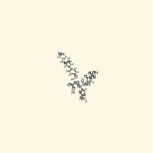 C[C@@H]1[C@H](NC(=O)/C(=N\O[C@@H](COc2ccc(-c3cn(CCCN)[n+](C)c3)cc2)C(=O)O)c2csc(N)n2)C(=O)N1S(=O)(=O)O